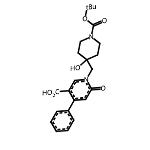 CC(C)(C)OC(=O)N1CCC(O)(Cn2cc(C(=O)O)c(-c3ccccc3)cc2=O)CC1